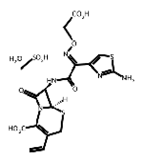 C=CC1=C(C(=O)O)N2C(=O)[C@@H](NC(=O)C(=NOCC(=O)O)c3csc(N)n3)[C@H]2SC1.CS(=O)(=O)O.O